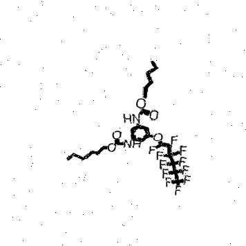 CCCCCCOC(=O)Nc1cc(NC(=O)OCCCCCC)cc(OC(F)=C(F)C(F)(F)C(F)(F)C(F)(F)C(F)(F)F)c1